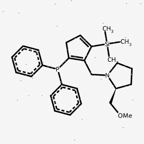 COC[C@@H]1CCCN1CC1=C(P(c2ccccc2)c2ccccc2)CC=C1[Si](C)(C)C